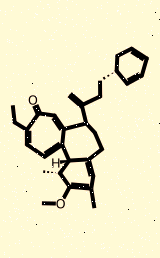 C=C(CC[C@H]1C=CC=CC1)C1CCC2=CC(C)=C(OC)[C@H](C)[C@@H]2c2ccc(CC)c(=O)cc21